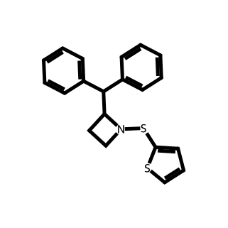 c1ccc(C(c2ccccc2)C2CCN2Sc2cccs2)cc1